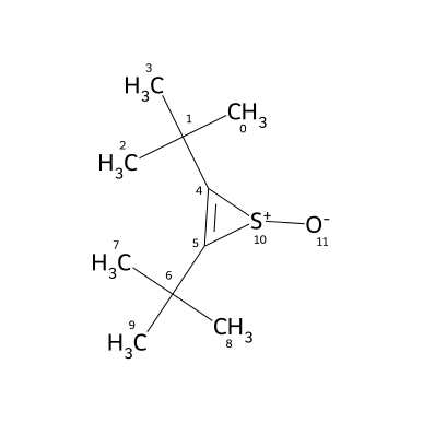 CC(C)(C)C1=C(C(C)(C)C)[S+]1[O-]